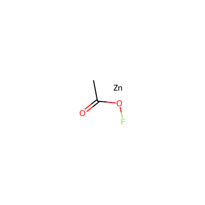 CC(=O)OF.[Zn]